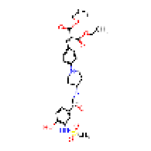 CCOC(=O)C(=Cc1ccc(N2CCC(NC[C@@H](O)c3ccc(O)c(NS(C)(=O)=O)c3)CC2)cc1)C(=O)OCC